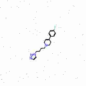 Fc1ccc(C2=CCN(CCCCn3ccnn3)CC2)cc1